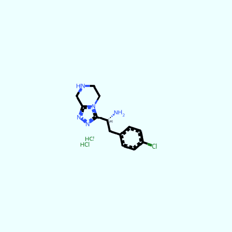 Cl.Cl.N[C@H](Cc1ccc(Cl)cc1)c1nnc2n1CCNC2